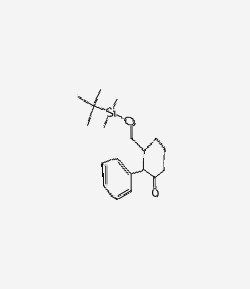 CC(C)(C)[Si](C)(C)OCC1CCCC(=O)C1c1ccccc1